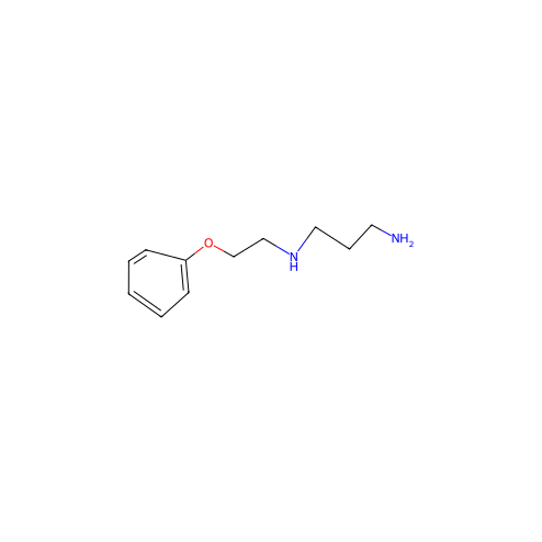 NCCCNCCOc1ccccc1